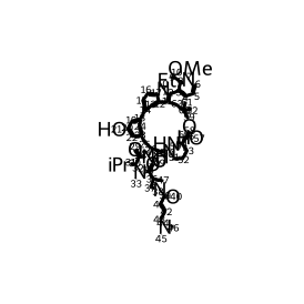 CCn1c(-c2cccnc2COC)c2c3cc(ccc31)-c1cc(O)cc(c1)C[C@H](NC(=O)C(C(C)C)N(C)C(=O)C1CN(C(=O)/C=C/CN(C)C)C1)C(=O)N1CCC[C@H](N1)C(=O)OCC(C)(C)C2